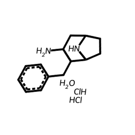 Cl.Cl.NC1CC2CCC(N2)C1Cc1ccccc1.O